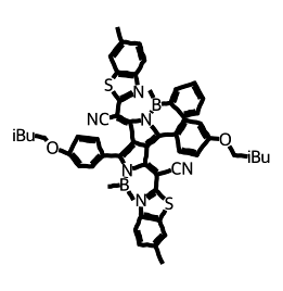 CCC(C)COc1ccc(-c2c3/c(=C(\C#N)c4nc5ccc(C)cc5s4)n(B(C)c4ccccc4)c(-c4ccc(OCC(C)CC)cc4)c3/c(=C(\C#N)c3nc4ccc(C)cc4s3)n2B(C)C)cc1